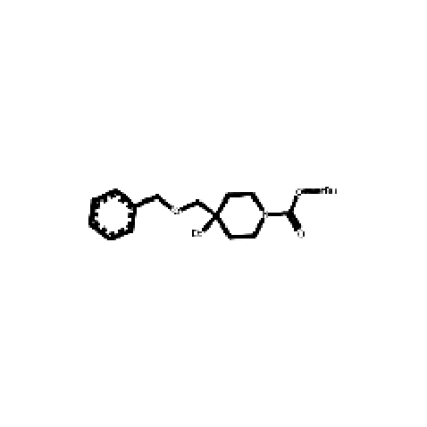 CCC1(COCc2ccccc2)CCN(C(=O)OC(C)(C)C)CC1